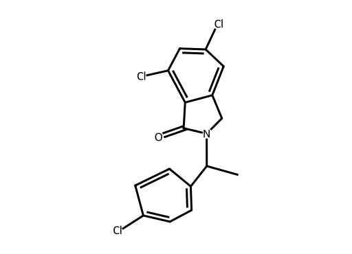 CC(c1ccc(Cl)cc1)N1Cc2cc(Cl)cc(Cl)c2C1=O